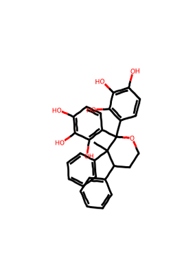 CC1(c2ccccc2)C(c2ccccc2)CCOC1(c1ccc(O)c(O)c1O)c1ccc(O)c(O)c1O